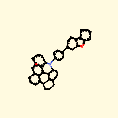 c1ccc(N(c2ccc(-c3ccc4c(c3)oc3ccccc34)cc2)c2ccccc2-c2cccc3cccc(C4CCCCC4)c23)cc1